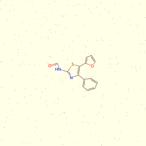 O=CNc1nc(-c2ccccc2)c(-c2ccco2)s1